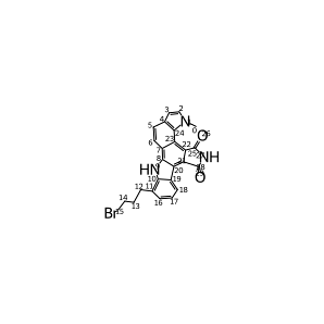 Cn1ccc2ccc3c4[nH]c5c(CCCBr)cccc5c4c4c(c3c21)C(=O)NC4=O